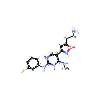 CCCNc1nc(Nc2cccc(F)c2)ncc1-c1cc(CCN)on1